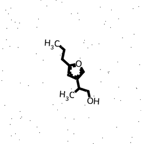 CCCc1cc(C(C)CO)co1